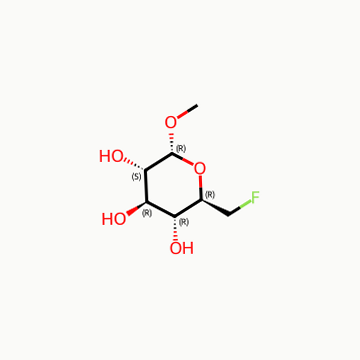 CO[C@@H]1O[C@@H](CF)[C@H](O)[C@@H](O)[C@@H]1O